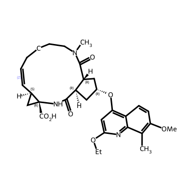 CCOc1cc(O[C@@H]2C[C@H]3C(=O)N[C@]4(C(=O)O)C[C@H]4/C=C\CCCCN(C)C(=O)[C@@H]3C2)c2ccc(OC)c(C)c2n1